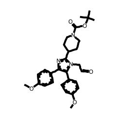 COc1ccc(-c2nc(C3CCN(C(=O)OC(C)(C)C)CC3)n(CC=O)c2-c2ccc(OC)cc2)cc1